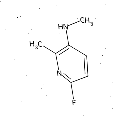 CNc1ccc(F)nc1C